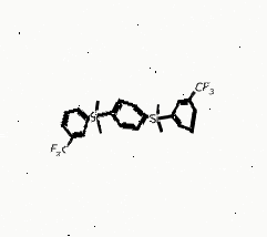 C[Si](C)(c1ccc([Si](C)(C)c2cccc(C(F)(F)F)c2)cc1)c1cccc(C(F)(F)F)c1